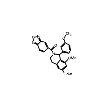 COc1cc2c(c(OC)c1)C(c1cccc(OC(F)(F)F)c1)N(C(=O)c1ccc3nonc3c1)CC2